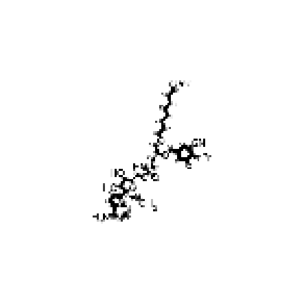 C=NC[C@@]1(c2ccc3c(N)ncnn23)O[C@H](COP(=O)(O)OC[C@@H](COCCCCCCCCCCCCCCCCCC)OCc2cc(F)c(CCC)c(C#N)c2)[C@@H](O)[C@H]1O